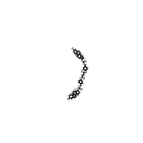 C[C@]12CC[C@H]3[C@@H](CCC4=CC(=O)CC[C@@]43C)[C@@H]1CC[C@@H]2OC(=O)OCc1ccc(OC(=O)CCC(=O)Oc2ccc(COC(=O)O[C@H]3CC[C@H]4[C@@H]5CCC6=CC(=O)CC[C@]6(C)[C@H]5CC[C@]34C)cc2)cc1